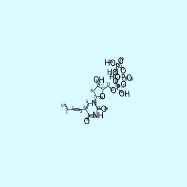 C=CC#Cc1cn(C2CC(O)C(COP(=O)(O)OP(=O)(O)OP(=O)(O)O)O2)c(=O)[nH]c1=O